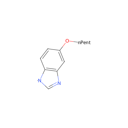 CCCCCOc1ccc2c(c1)N=C[N]2